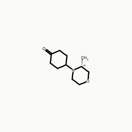 C[C@@H]1COCCN1C1CCC(=O)CC1